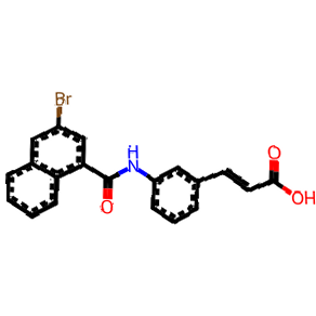 O=C(O)C=Cc1cccc(NC(=O)c2cc(Br)cc3ccccc23)c1